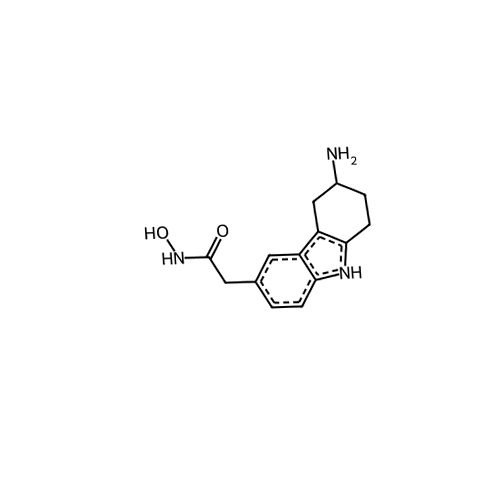 NC1CCc2[nH]c3ccc(CC(=O)NO)cc3c2C1